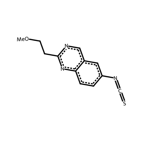 COCCc1ncc2cc(N=C=S)ccc2n1